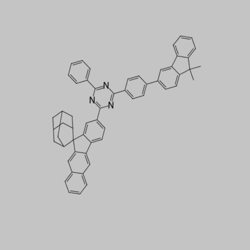 CC1(C)c2ccccc2-c2cc(-c3ccc(-c4nc(-c5ccccc5)nc(-c5ccc6c(c5)C5(c7cc8ccccc8cc7-6)C6CC7CC(C6)CC5C7)n4)cc3)ccc21